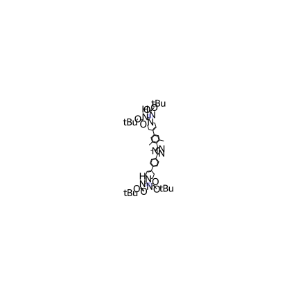 Cc1cc(C2=CCN(/C(=N/C(=O)OC(C)(C)C)NC(=O)OC(C)(C)C)CC2)cc(C)c1-c1nnc(-c2ccc(C3=CCN(/C(=N\C(=O)OC(C)(C)C)NC(=O)OC(C)(C)C)CC3)cc2)n1C